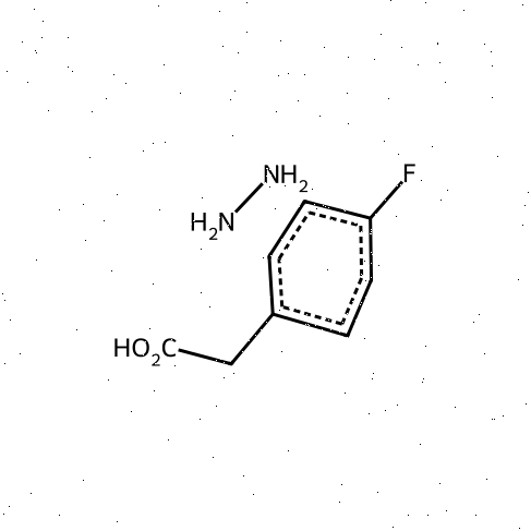 NN.O=C(O)Cc1ccc(F)cc1